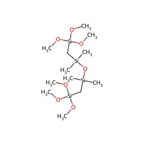 CO[Si](C[Si](C)(C)O[Si](C)(C)C[Si](OC)(OC)OC)(OC)OC